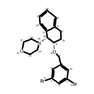 Brc1cc(Br)cc(CO[C@H]2CCc3ccccc3[C@H]2N2CCOCC2)c1